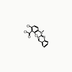 CN(c1ncc2ccccc2n1)c1ccc(Cl)c(C(=O)Cl)c1Cl